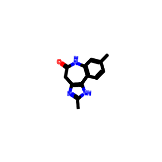 Cc1ccc2c(c1)NC(=O)Cc1nc(C)[nH]c1-2